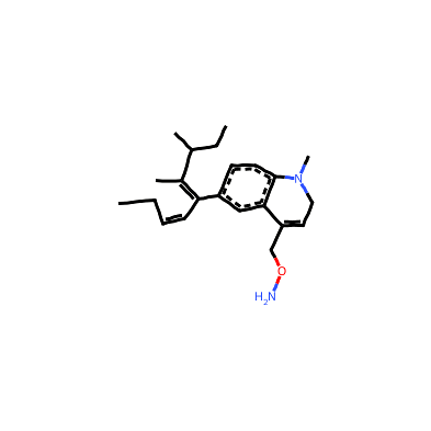 CC/C=C\C(=C(/C)C(C)CC)c1ccc2c(c1)C(CON)=CCN2C